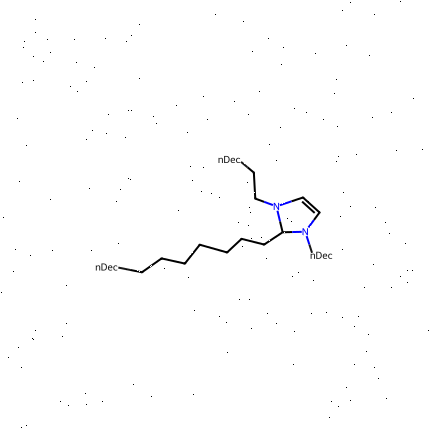 CCCCCCCCCCCCCCCCCC1N(CCCCCCCCCC)C=CN1CCCCCCCCCCCC